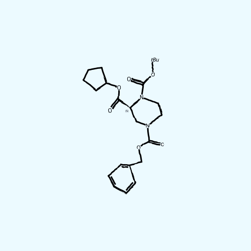 CC(C)(C)OC(=O)N1CCN(C(=O)OCc2ccccc2)C[C@H]1C(=O)OC1CCCC1